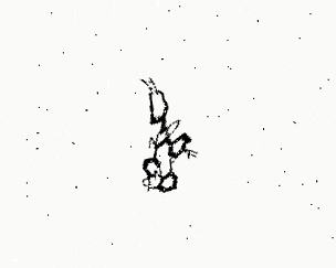 O=c1ccc(-c2nc(C3CCNCC3)oc2-c2ccc(F)cc2)cn1-c1c(F)cccc1F